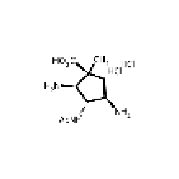 CC(=O)N[C@H]1[C@H](N)C[C@](C)(C(=O)O)[C@@H]1N.Cl.Cl